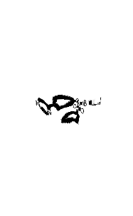 CCCCN(Oc1ccc(-c2ccncn2)cc1)S(=O)(=O)c1ccccc1